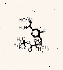 CN(Cc1ccc(C(N)/C=N\O)cc1F)C(C)(C)C(=O)OC(C)(C)C